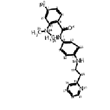 CC(C)c1ccc(C(=O)Nc2ccc(NCCc3ccccn3)cc2)c(N(C)C)c1